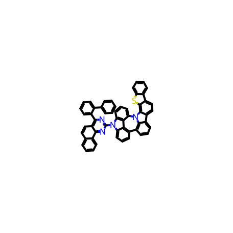 c1ccc(-c2ccccc2-c2nc(-n3c4cccc5c6cccc7c8ccc9c%10ccccc%10sc9c8n(c8cccc3c8c54)c67)nc3c2ccc2ccccc23)cc1